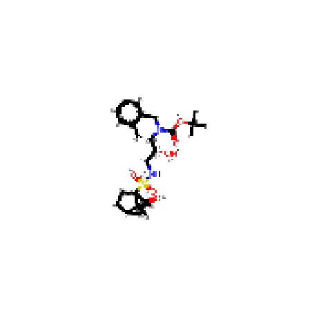 CC(C)(C)OC(=O)N1Cc2ccccc2C[C@H]1[C@H](O)CNS(=O)(=O)C12CCC(CC1=O)C2(C)C